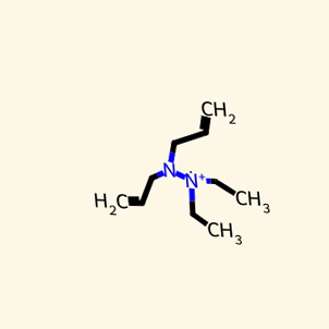 C=CCN(CC=C)[N+](CC)CC